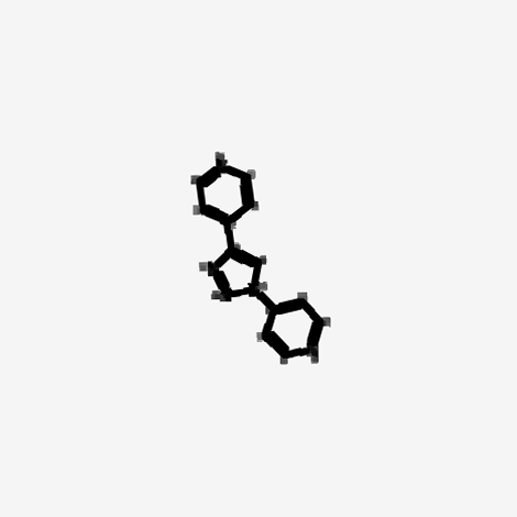 c1cc(-c2cn(-c3ccncc3)nn2)ccn1